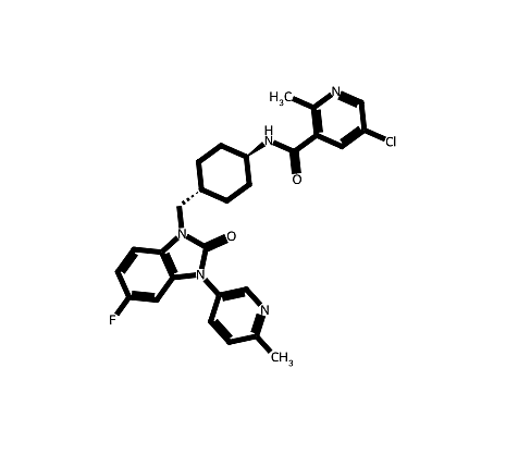 Cc1ccc(-n2c(=O)n(C[C@H]3CC[C@H](NC(=O)c4cc(Cl)cnc4C)CC3)c3ccc(F)cc32)cn1